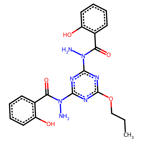 CCCOc1nc(N(N)C(=O)c2ccccc2O)nc(N(N)C(=O)c2ccccc2O)n1